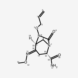 C=CCON1C(=O)N2C[C@H]1C(=NOC)C[C@H]2C(N)=O